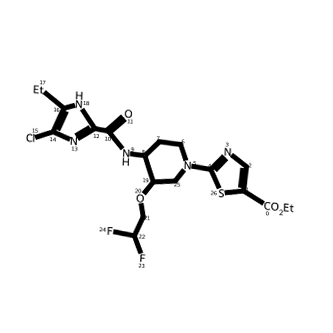 CCOC(=O)c1cnc(N2CCC(NC(=O)c3nc(Cl)c(CC)[nH]3)C(OCC(F)F)C2)s1